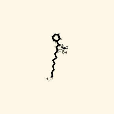 C=CCCCCCCCCCC(OP(=O)(O)O)c1ccccc1